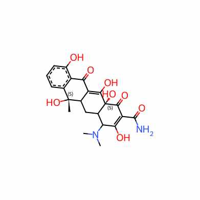 CN(C)C1C(O)=C(C(N)=O)C(=O)[C@@]2(O)C(O)=C3C(=O)c4c(O)cccc4[C@@](C)(O)C3CC12